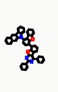 c1ccc(-c2nc(-c3ccccc3)c3c(n2)oc2c(-c4ccc(-n5c6ccccc6c6cc7ccccc7cc65)c5c4oc4ccccc45)cccc23)cc1